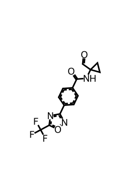 O=CC1(NC(=O)c2ccc(-c3noc(C(F)(F)F)n3)cc2)CC1